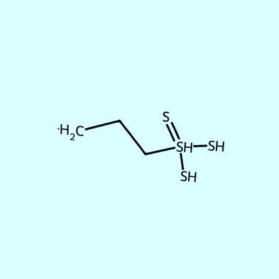 [CH2]CC[SH](=S)(S)S